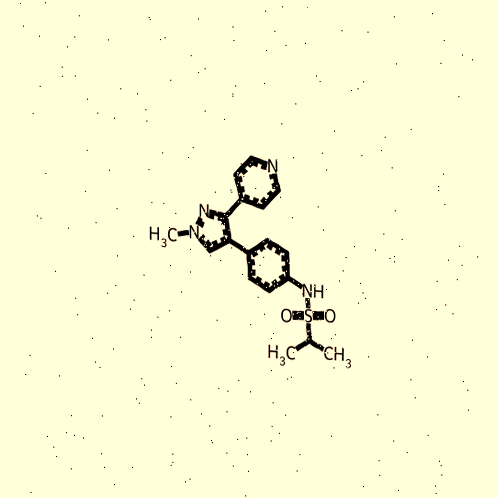 CC(C)S(=O)(=O)Nc1ccc(-c2cn(C)nc2-c2ccncc2)cc1